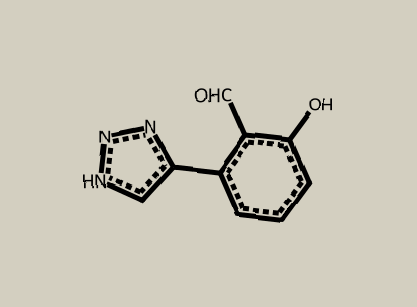 O=Cc1c(O)cccc1-c1c[nH]nn1